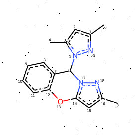 Cc1cc(C)n(C2c3ccccc3Oc3cc(C)nn32)n1